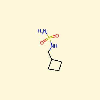 NS(=O)(=O)NCC1CCC1